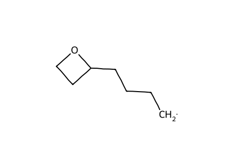 [CH2]CCCC1CCO1